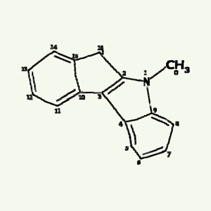 Cn1c2c(c3ccccc31)-c1ccccc1[C]2